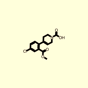 COC(=O)c1cc(Cl)ccc1C1=CCN(C(=O)O)CC1